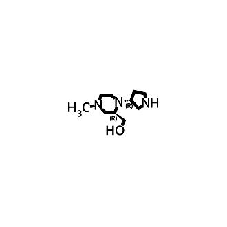 CN1CCN([C@@H]2CCNC2)[C@@H](CO)C1